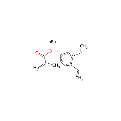 C=C(C)C(=O)OCCCC.C=Cc1ccccc1C=C